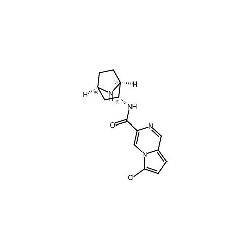 O=C(N[C@@H]1C[C@H]2CC[C@@H]1N2)c1cn2c(Cl)ccc2cn1